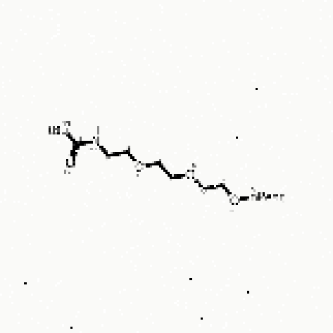 CCCCCOCCOCCOCCNC(=O)C(C)(C)C